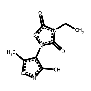 CCn1c(=O)sn(-c2c(C)noc2C)c1=O